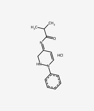 CC(C)C(=O)N=C1C=CN(c2ccccc2)NC1.Cl